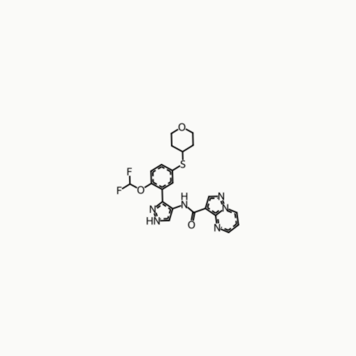 O=C(Nc1c[nH]nc1-c1cc(SC2CCOCC2)ccc1OC(F)F)c1cnn2cccnc12